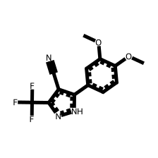 COc1ccc(-c2[nH]nc(C(F)(F)F)c2C#N)cc1OC